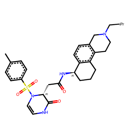 Cc1ccc(S(=O)(=O)N2C=CNC(=O)[C@H]2CC(=O)N[C@@H]2CCCc3c2ccc2c3CCN(CC(C)C)C2)cc1